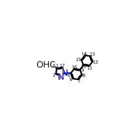 O=Cc1cnn(-c2cccc(-c3ccccc3)c2)c1